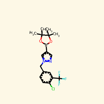 CC1(C)OB(c2cnn(Cc3ccc(Cl)c(C(F)(F)F)c3)c2)OC1(C)C